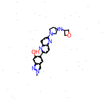 Cn1cc2cc(-c3ccc4nc(N5CC[C@H](NC6COC6)C5)ccc4n3)c(O)cc2n1